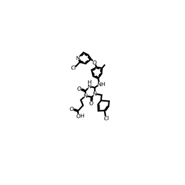 Cc1cc(NC2NC(=O)N(CCC(=O)O)C(=O)N2CC2C=CC(Cl)=CC2)ccc1Oc1ccnc(Cl)c1